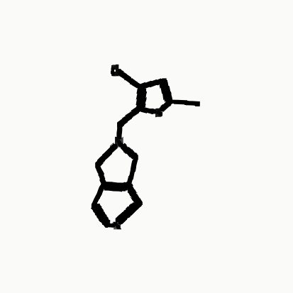 Cc1cc(Cl)c(CN2Cc3ccncc3C2)s1